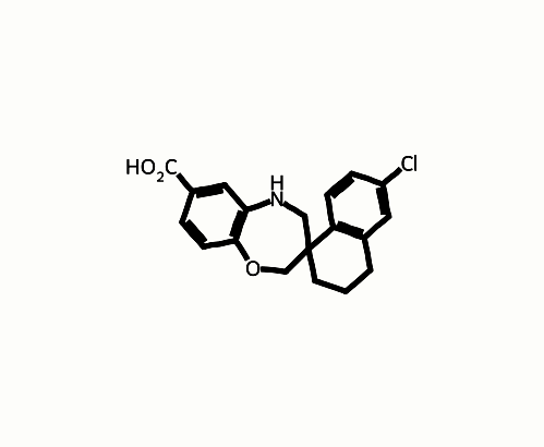 O=C(O)c1ccc2c(c1)NCC1(CCCc3cc(Cl)ccc31)CO2